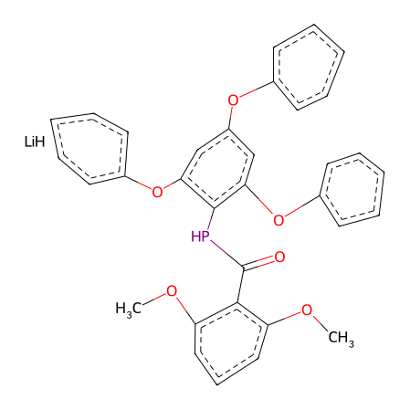 COc1cccc(OC)c1C(=O)Pc1c(Oc2ccccc2)cc(Oc2ccccc2)cc1Oc1ccccc1.[LiH]